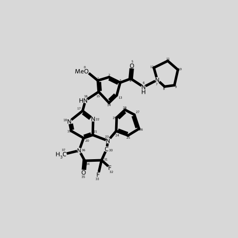 COc1cc(C(=O)NN2CCCCC2)ccc1Nc1ncc2c(n1)N(c1ccccc1)CC(F)(F)C(=O)N2C